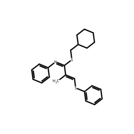 CC(=C\Sc1ccccc1)/C(=N\c1ccccc1)SCC1CCCCC1